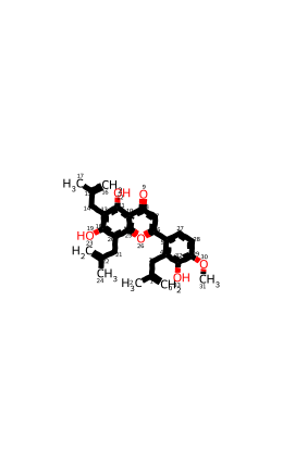 C=C(C)Cc1c(-c2cc(=O)c3c(O)c(CC(=C)C)c(O)c(CC(=C)C)c3o2)ccc(OC)c1O